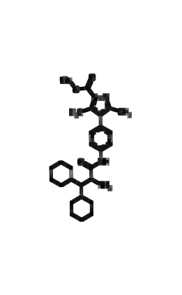 Cc1nn(C(=O)OC(C)(C)C)c(C)c1-c1ccc(NC(=O)C(N)C(C2CCCCC2)C2CCCCC2)cc1